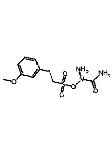 COc1cccc(CCS(=O)(=O)ON(N)C(N)=O)c1